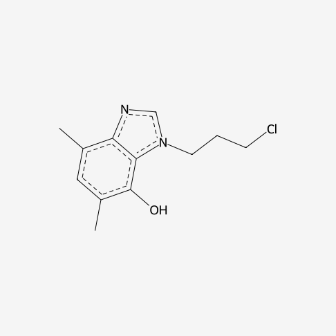 Cc1cc(C)c2ncn(CCCCl)c2c1O